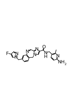 Cc1nc(N)ccc1CNC(=O)c1cn2c(n1)C=Nc1cc(Cn3cc(F)cn3)ccc1C2